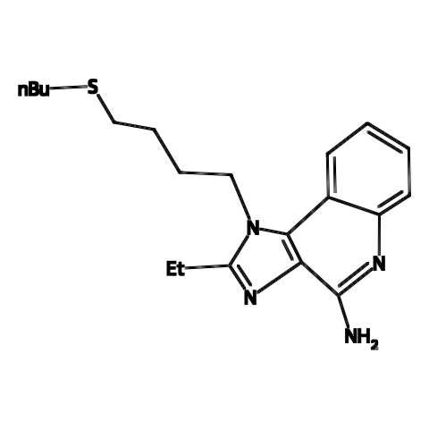 CCCCSCCCCn1c(CC)nc2c(N)nc3ccccc3c21